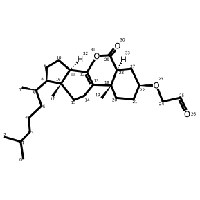 CC(C)CCC[C@@H](C)[C@H]1CC[C@H]2C3=C(CC[C@]12C)[C@@]1(C)CC[C@H](OCC=O)C[C@@H]1C(=O)O3